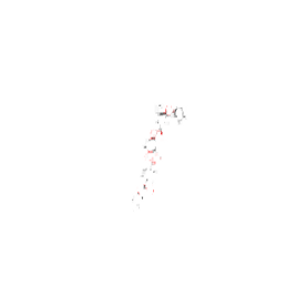 Cc1ccc(OC(=O)C2CCC(C(=O)Oc3ccc(OC(=O)C4CCC(C=O)(Oc5ccc(C)cc5)CC4)cc3)CC2)cc1